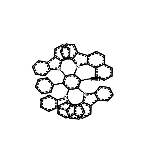 N#Cc1c(-n2c3ccccc3c3ccc4ccccc4c32)c(-n2c3ccccc3c3ccccc32)c(-c2ccccc2)c(-n2c3ccccc3c3ccccc32)c1-n1c2ccccc2c2ccc3ccccc3c21